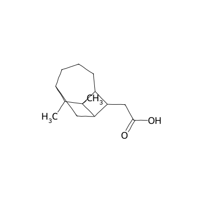 CC1C2CCCC3C(CC(=O)O)C(C2)C13C